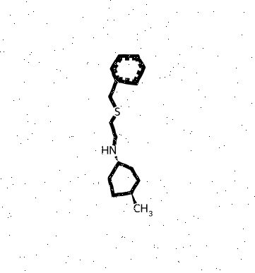 C[C@H]1CC[C@H](NCCSCc2ccccc2)CC1